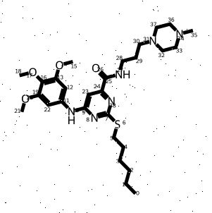 CCCCCCSc1nc(Nc2cc(OC)c(OC)c(OC)c2)cc(C(=O)NCCCN2CCN(C)CC2)n1